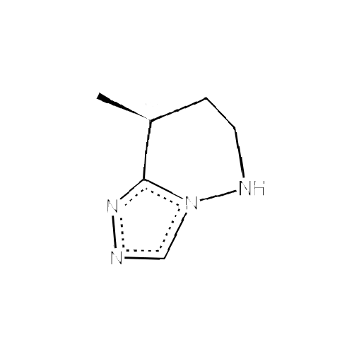 C[C@H]1CCNn2cnnc21